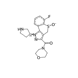 O=C(c1nn([C@H]2CCNC2)c2c1C[S+]([O-])c1c(F)cccc1-2)N1CCOCC1